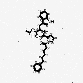 CCOC(O)C(Cc1c[nH]c2ccccc12)NC(=O)C1CCCN1C(=O)CCCCCc1ccccc1